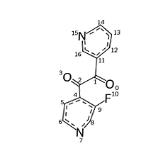 O=C(C(=O)c1ccncc1F)c1cccnc1